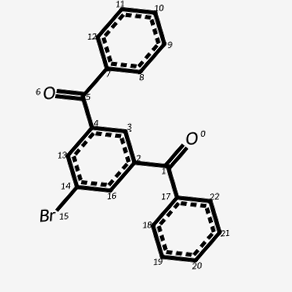 O=C(c1[c]c(C(=O)c2ccccc2)cc(Br)c1)c1ccccc1